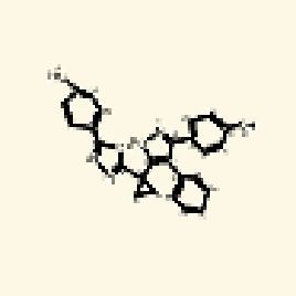 Oc1ccc(-c2nnc(C3(c4onc(-c5ccc(O)cc5)c4-c4ccccc4)CC3)o2)cc1